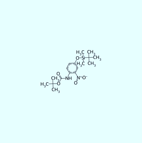 CC(C)(C)OC(=O)Nc1ccc(O[Si](C)(C)C(C)(C)C)cc1[N+](=O)[O-]